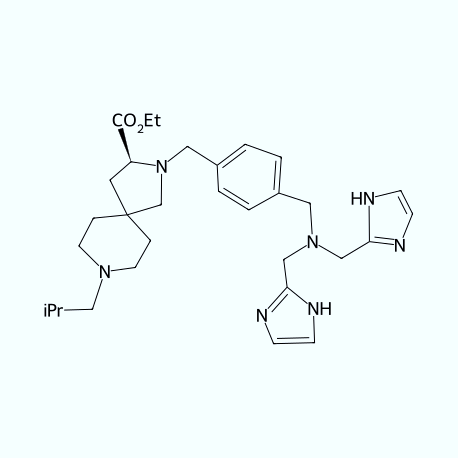 CCOC(=O)[C@@H]1CC2(CCN(CC(C)C)CC2)CN1Cc1ccc(CN(Cc2ncc[nH]2)Cc2ncc[nH]2)cc1